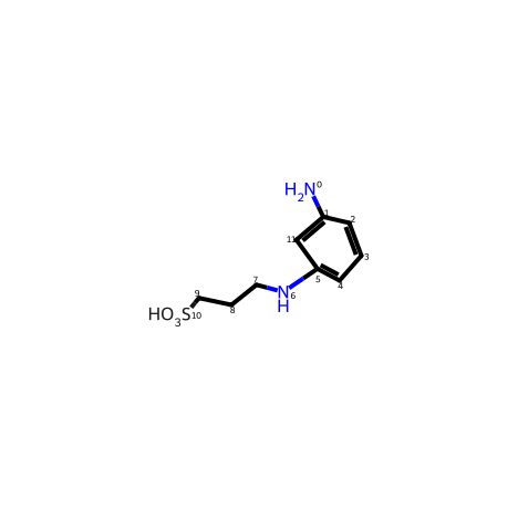 Nc1cccc(NCCCS(=O)(=O)O)c1